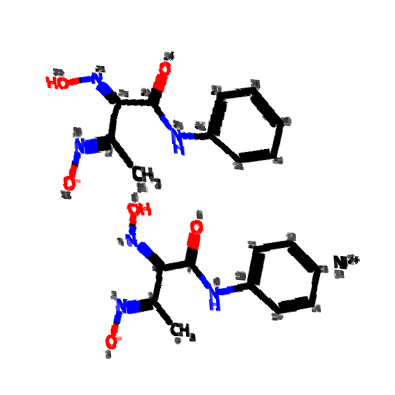 CC(=N\[O-])/C(=N/O)C(=O)Nc1ccccc1.CC(=N\[O-])/C(=N\O)C(=O)Nc1ccccc1.[Ni+2]